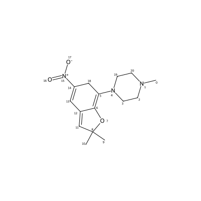 CN1CCN(C2=C3OC(C)(C)C=C3C=C([N+](=O)[O-])C2)CC1